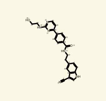 N#Cc1c[nH]c2ccc(CCNC(=O)c3ccc(-c4ccnc(NCCO)n4)cc3)cc12